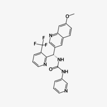 COc1ccc2cc([C@H](NC(=O)Nc3cccnc3)c3ncccc3C(F)(F)F)cnc2c1